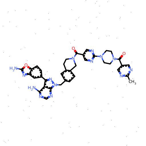 Cc1ncc(C(=O)N2CCN(c3ncc(C(=O)N4CCc5cc(Cn6nc(-c7ccc8oc(N)nc8c7)c7c(N)ncnc76)ccc5C4)cn3)CC2)cn1